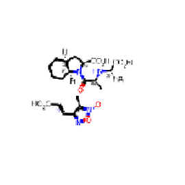 CCC[C@H](N[C@@H](C)C(=O)N1[C@H](C(=O)O)C[C@@H]2CCCC[C@@H]21)C(=O)OCC.Cc1c(/C=C/C(=O)O)no[n+]1[O-]